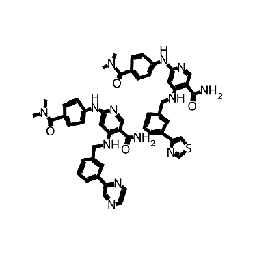 CN(C)C(=O)c1ccc(Nc2cc(NCc3cccc(-c4cnccn4)c3)c(C(N)=O)cn2)cc1.CN(C)C(=O)c1ccc(Nc2cc(NCc3cccc(-c4cscn4)c3)c(C(N)=O)cn2)cc1